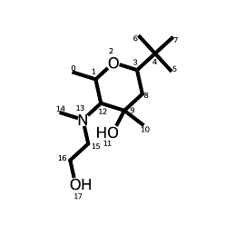 CC1OC(C(C)(C)C)CC(C)(O)C1N(C)CCO